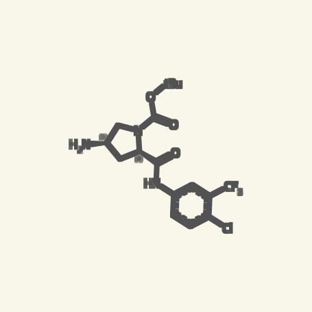 CC(C)(C)OC(=O)N1C[C@H](N)C[C@@H]1C(=O)Nc1ccc(Cl)c(C(F)(F)F)c1